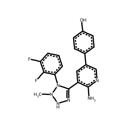 CN1NN=C(c2cc(-c3ccc(O)cc3)cnc2N)N1c1cccc(F)c1F